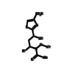 CCCCC(=O)N(OCCC)C(CC(O)c1nc(C(=O)O)cs1)C(C)C